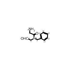 NCC(=O)N(C[C]=O)Cc1ccccc1